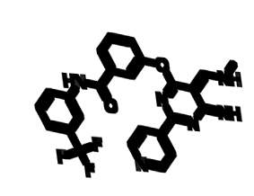 CN/C=C1\C(=N)N=C(c2ccncc2)N=C1Oc1cccc(C(=O)Nc2cccc(C(F)(F)F)c2)c1